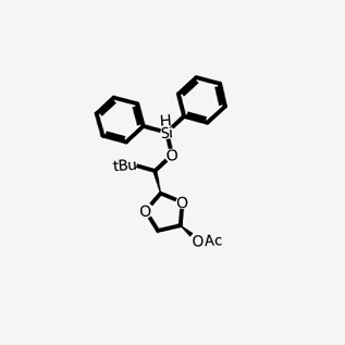 CC(=O)O[C@H]1CO[C@@H](C(O[SiH](c2ccccc2)c2ccccc2)C(C)(C)C)O1